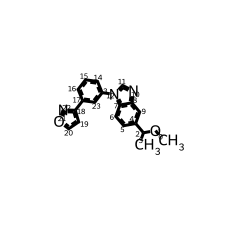 COC(C)c1ccc2c(c1)ncn2-c1cccc(-c2ccon2)c1